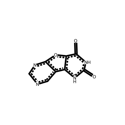 O=c1[nH]c(=O)c2oc3ncncc3c2[nH]1